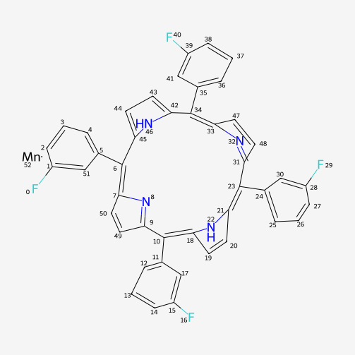 Fc1cccc(-c2c3nc(c(-c4cccc(F)c4)c4ccc([nH]4)c(-c4cccc(F)c4)c4nc(c(-c5cccc(F)c5)c5ccc2[nH]5)C=C4)C=C3)c1.[Mn]